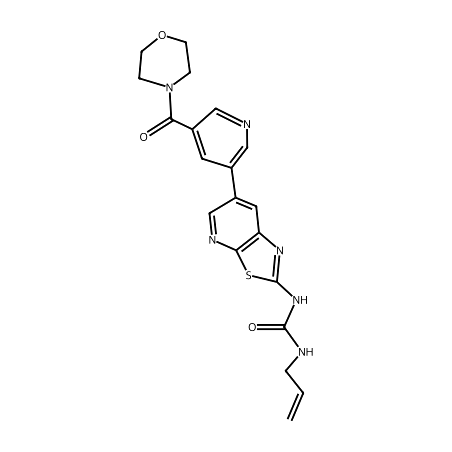 C=CCNC(=O)Nc1nc2cc(-c3cncc(C(=O)N4CCOCC4)c3)cnc2s1